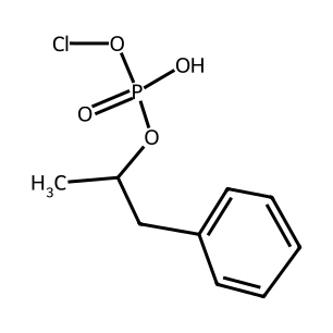 CC(Cc1ccccc1)OP(=O)(O)OCl